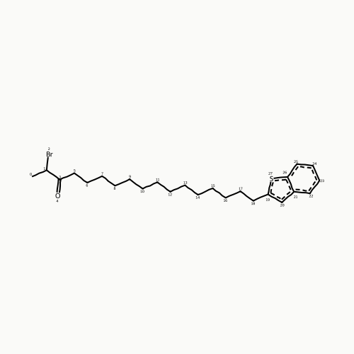 CC(Br)C(=O)CCCCCCCCCCCCCCc1cc2ccccc2s1